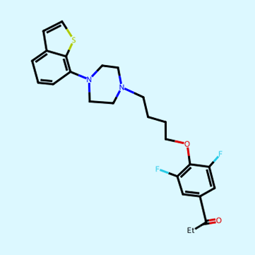 CCC(=O)c1cc(F)c(OCCCCN2CCN(c3cccc4ccsc34)CC2)c(F)c1